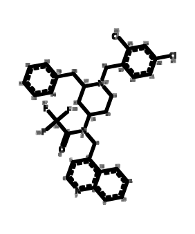 O=C(N(Cc1ccnc2ccccc12)C1CCN(Cc2ccc(Cl)cc2Cl)C(Cc2ccccc2)C1)C(F)(F)F